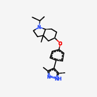 Cc1n[nH]c(C)c1-c1ccc(OC2CCC3N(C(C)C)CCC3(C)C2)cc1